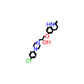 C=C1CCc2cc(OC[C@@H](O)CN3CCN(c4ccc(Cl)cc4)CC3)ccc2N1